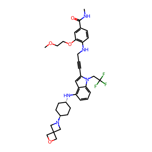 CNC(=O)c1ccc(NCC#Cc2cc3c(N[C@H]4CC[C@H](N5CC6(COC6)C5)CC4)cccc3n2CC(F)(F)F)c(OCCOC)c1